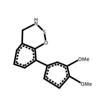 COc1ccc(-c2cccc3c2OSNC3)cc1OC